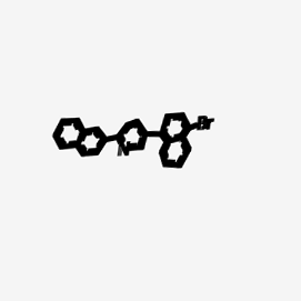 Brc1ccc(-c2ccc(-c3ccc4ccccc4c3)nc2)c2ccccc12